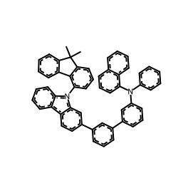 CC1(C)c2ccccc2-c2c(-n3c4ccccc4c4ccc(-c5cccc(-c6cccc(N(c7ccccc7)c7cccc8ccccc78)c6)c5)cc43)cccc21